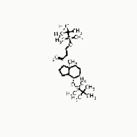 C=C(CCO[Si](C)(C)C(C)(C)C)[C@H]1CCC2[C@@H](O[Si](C)(C)C(C)(C)C)CCC[C@@]21C